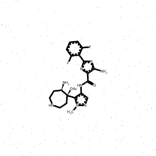 CC(=O)O[C@@]1(c2c(NC(=O)c3nc(-c4c(F)cccc4F)sc3N)cnn2C)CCNCC[C@H]1N